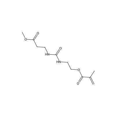 C=C(C)C(=O)OCCNC(=O)NCCC(=O)OC